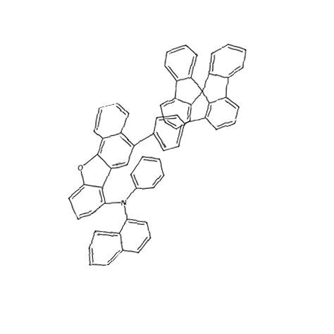 c1ccc(N(c2cccc3ccccc23)c2cccc3oc4c5ccccc5c(-c5ccc(-c6cccc7c6C6(c8ccccc8-c8ccccc86)c6ccccc6-7)cc5)cc4c23)cc1